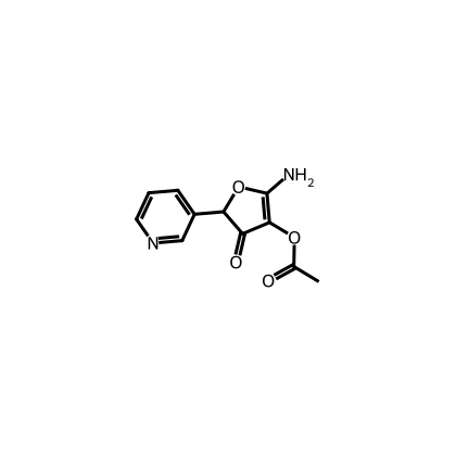 CC(=O)OC1=C(N)OC(c2cccnc2)C1=O